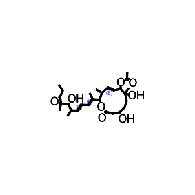 CCC1OC1(C)C(O)C(C)/C=C/C=C(\C)C1OC(=O)CC(O)CCC(C)(O)C(OC(C)=O)/C=C/C1C